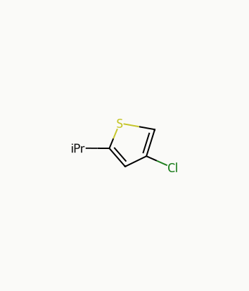 CC(C)c1cc(Cl)cs1